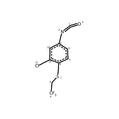 O=C=Nc1ccc(SCC(F)(F)F)c(Cl)c1